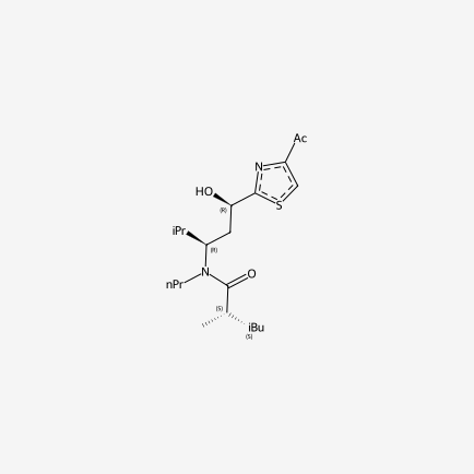 CCCN(C(=O)[C@@H](C)[C@@H](C)CC)[C@H](C[C@@H](O)c1nc(C(C)=O)cs1)C(C)C